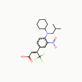 CC(C)CN(c1ccc(C(=CC(=O)O)C(F)(F)F)cc1[N+](=O)[O-])C1CCCCC1